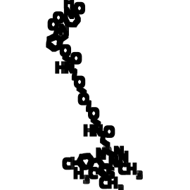 Cc1sc2c(c1C)C(c1ccc(Cl)cc1)=N[C@@H](CCC(=O)NCCOCCOCCOCCNC(=O)COc1cccc3c1CN(C1CCC(=O)NC1=O)C3=O)c1nnc(C)n1-2